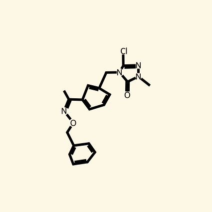 CC(=NOCc1ccccc1)c1cccc(Cn2c(Cl)nn(C)c2=O)c1